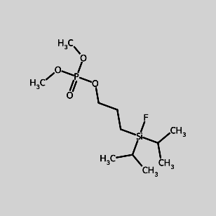 COP(=O)(OC)OCCC[Si](F)(C(C)C)C(C)C